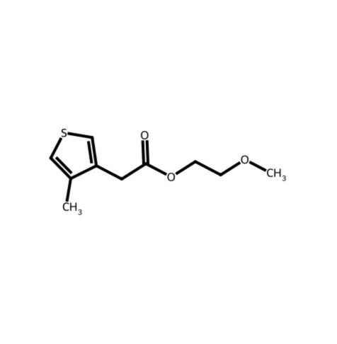 COCCOC(=O)Cc1cscc1C